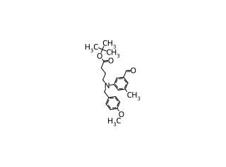 COc1ccc(CN(CCCC(=O)OC(C)(C)C)c2cc(C)cc(C=O)c2)cc1